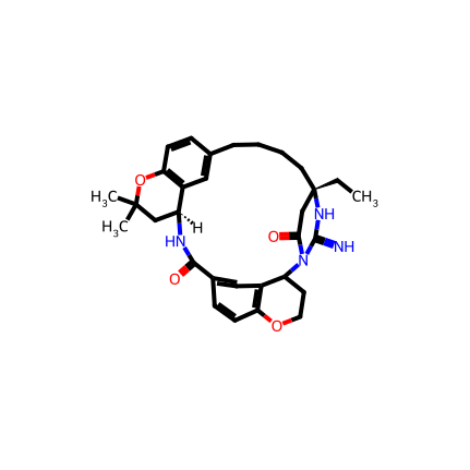 CC[C@@]12CCCCc3ccc4c(c3)[C@H](CC(C)(C)O4)NC(=O)c3ccc4c(c3)C(CCO4)N(C(=N)N1)C(=O)C2